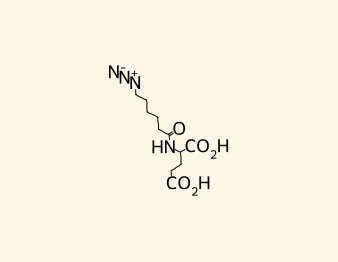 [N-]=[N+]=NCCCCCC(=O)NC(CCC(=O)O)C(=O)O